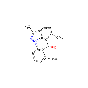 COc1cccc2c1c(=O)c1c(OC)ccc3c(C)nn2c31